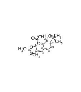 CC(=O)OC(OC(C)=O)C(C)=Cc1ccc(C(C)(C)C)cc1